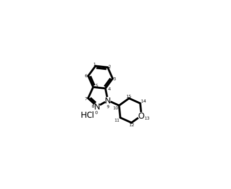 Cl.c1ccc2c(c1)cnn2C1CCOCC1